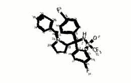 O=S(=O)(NC(c1ccc(F)cc1)(c1ccc(F)cc1)C1CCCN1Cc1ccccc1)C(F)(F)F